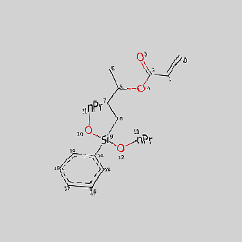 C=CC(=O)OC(C)CC[Si](OCCC)(OCCC)c1ccccc1